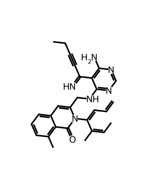 C=C/C=C(\C(C)=C/C)n1c(CNc2ncnc(N)c2C(=N)C#CCC)cc2cccc(C)c2c1=O